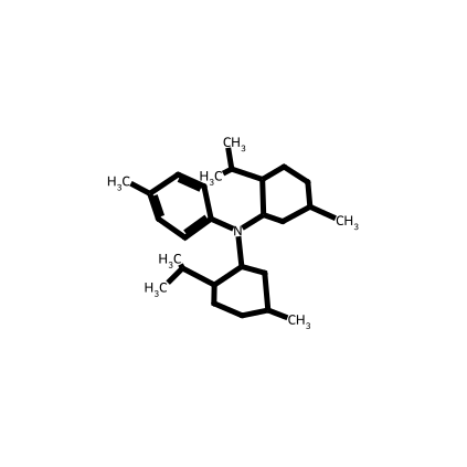 Cc1ccc(N(C2CC(C)CCC2C(C)C)C2CC(C)CCC2C(C)C)cc1